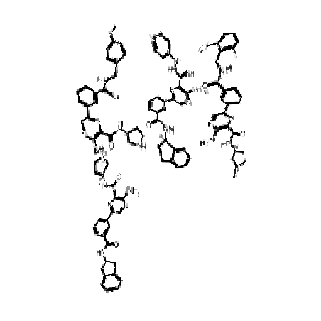 CSc1ccc(CNC(=O)c2cccc(-c3cnc(N)c(C(=O)N[C@H]4CCNC4)n3)c2)cc1.N=C(NNc1ccncc1)c1nc(-c2cccc(C(=O)N[C@@H]3CCc4ccccc43)c2)cnc1N.Nc1ncc(-c2cccc(C(=O)NC3Cc4ccccc4C3)c2)nc1C(=O)N[C@H]1CCNC1.Nc1ncc(-c2cccc(C(=O)NCc3c(F)cccc3Cl)c2)nc1C(=O)N[C@H]1CCNC1